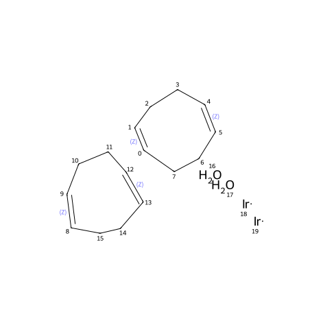 C1=C\CC/C=C\CC/1.C1=C\CC/C=C\CC/1.O.O.[Ir].[Ir]